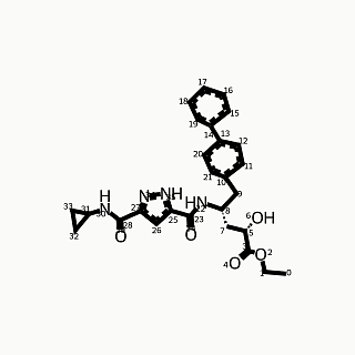 CCOC(=O)[C@@H](O)C[C@@H](Cc1ccc(-c2ccccc2)cc1)NC(=O)c1cc(C(=O)NC2CC2)n[nH]1